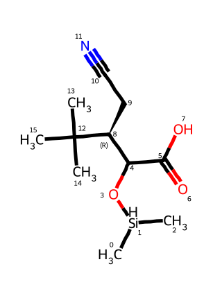 C[SiH](C)OC(C(=O)O)[C@H](CC#N)C(C)(C)C